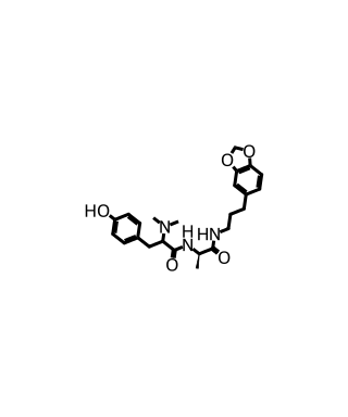 C[C@@H](NC(=O)C(Cc1ccc(O)cc1)N(C)C)C(=O)NCCCc1ccc2c(c1)OCO2